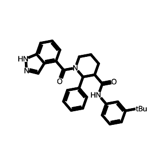 CC(C)(C)c1cccc(NC(=O)C2CCCN(C(=O)c3cccc4[nH]ncc34)C2c2ccccc2)c1